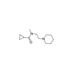 CN(CCN1CCCCC1)C(=O)C1CC1